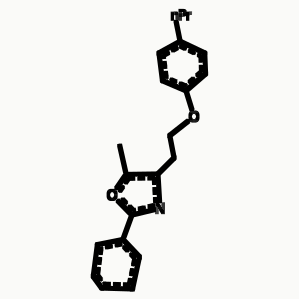 CCCc1ccc(OCCc2nc(-c3ccccc3)oc2C)cc1